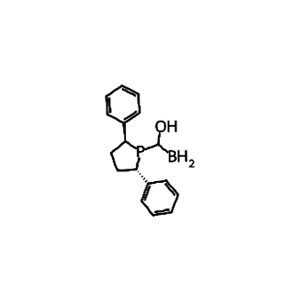 BC(O)P1[C@H](c2ccccc2)CC[C@H]1c1ccccc1